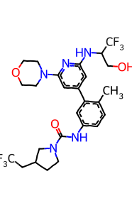 Cc1ccc(NC(=O)N2CCC(CC(F)(F)F)C2)cc1-c1cc(NC(CO)C(F)(F)F)nc(N2CCOCC2)c1